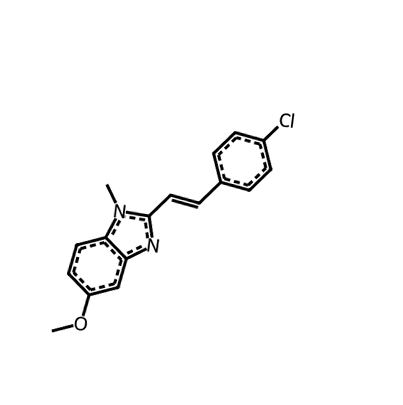 COc1ccc2c(c1)nc(/C=C/c1ccc(Cl)cc1)n2C